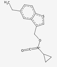 CCc1ccc2scc(CO[N+](=C=O)C3CC3)c2c1